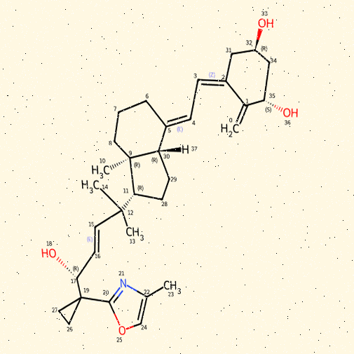 C=C1/C(=C\C=C2/CCC[C@]3(C)[C@@H](C(C)(C)/C=C/[C@@H](O)C4(c5nc(C)co5)CC4)CC[C@@H]23)C[C@@H](O)C[C@@H]1O